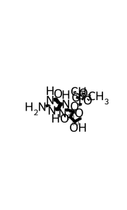 COP(=O)(CO[C@@]1(c2nc3nc(N)[nH]c(=O)c3[nH]2)OC[C@@H](O)[C@H]1O)OC